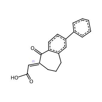 O=C(O)/C=C1\CCCc2cc(-c3ccccc3)ccc2C1=O